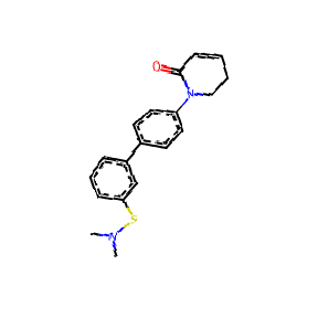 CN(C)Sc1cccc(-c2ccc(N3CCC=CC3=O)cc2)c1